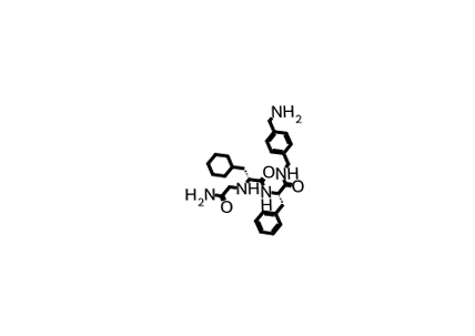 NCc1ccc(CNC(=O)[C@H](Cc2ccccc2)NC(=O)[C@@H](CC2CCCCC2)NCC(N)=O)cc1